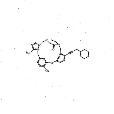 Cc1ncc2n1Cc1ccc(C#N)c(c1)Oc1ccc(C#CCC3CCCCC3)c(c1)CN1CCN(CC1=O)C2